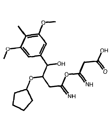 COc1cc(C(O)C(CC(=N)OC(=N)CC(=O)O)OC2CCCC2)cc(OC)c1C